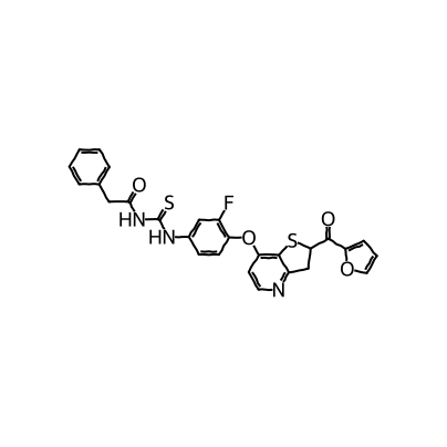 O=C(Cc1ccccc1)NC(=S)Nc1ccc(Oc2ccnc3c2SC(C(=O)c2ccco2)C3)c(F)c1